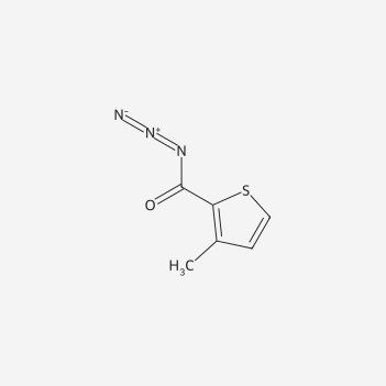 Cc1ccsc1C(=O)N=[N+]=[N-]